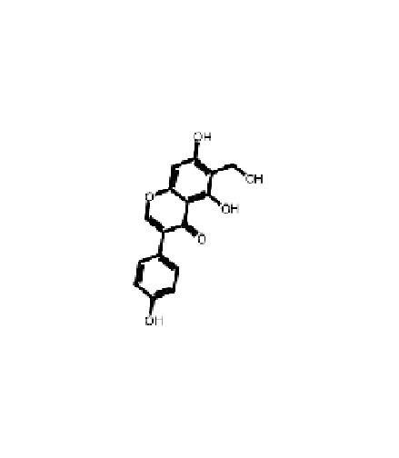 O=c1c(-c2ccc(O)cc2)coc2cc(O)c(CO)c(O)c12